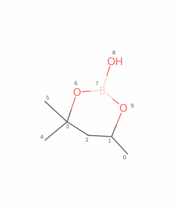 CC1CC(C)(C)OB(O)O1